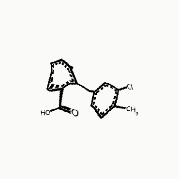 Cc1ccc(-c2ccccc2C(=O)O)cc1Cl